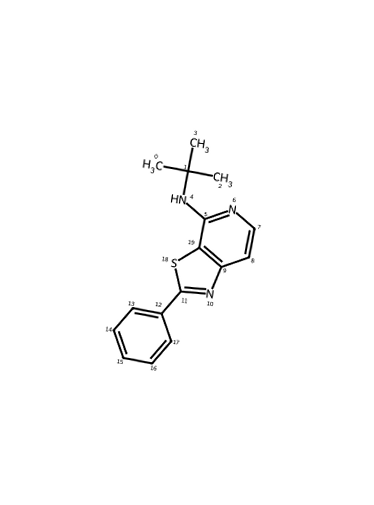 CC(C)(C)Nc1nccc2nc(-c3ccccc3)sc12